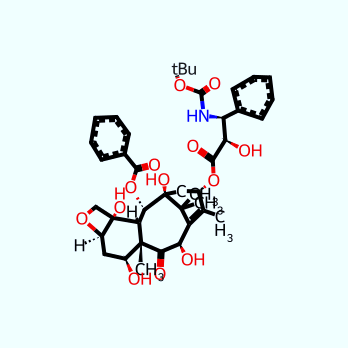 CC1=C2[C@@H](O)C(=O)[C@@]3(C)[C@H]([C@H](OC(=O)c4ccccc4)[C@](O)(C[C@@H]1OC(=O)[C@H](O)[C@@H](NC(=O)OC(C)(C)C)c1ccccc1)C2(C)C)[C@]1(O)CO[C@@H]1C[C@@H]3O